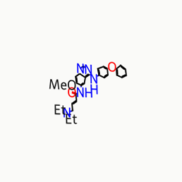 CCN(CC)CC=CC(=O)Nc1cc2c(Nc3ccc(Oc4ccccc4)cc3)ncnc2cc1OC